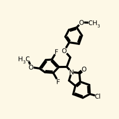 COc1ccc(OCC(c2c(F)cc(OC)cc2F)N2Cc3ccc(Cl)cc3C2=O)cc1